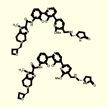 COc1nc(-c2ccnc(-c3cccc(NC(=O)c4nc5c(n4C)CCN(C[C@@H]4CCO4)C5)c3Cl)c2Cl)ccc1CNC[C@@H]1CCC(=O)N1.COc1nc(-c2ccnc(-c3cccc(NC(=O)c4nc5c(n4C)CCN(C[C@@H]4CCO4)C5)c3Cl)c2Cl)ccc1CNC[C@@H]1CCC(=O)N1